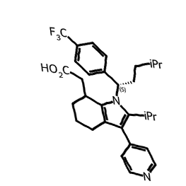 CC(C)CC[C@@H](c1ccc(C(F)(F)F)cc1)n1c(C(C)C)c(-c2ccncc2)c2c1C(CC(=O)O)CCC2